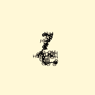 Cc1c(-c2ccc(N3CCc4cccc(C(=O)Nc5nc6ccccc6s5)c4C3)nc2C(=O)O)cnn1CC12CC3(C)CCC1C(CCCN(CCS(=O)(=O)O)C(=O)OCc1ccc(NC(=O)[C@H](C)NC(=O)[C@@H](NC(=O)CCCCCN4C(=O)C=CC4=O)C(C)C)cc1CC[C@@H]1O[C@H](C(=O)O)[C@@H](O)[C@H](O)[C@H]1O)CC(C)(C3)C2